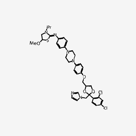 COC1CN(C(C)C)/C(=N/c2ccc(N3CCN(c4ccc(OCC5COC(Cn6ccnc6)(c6ccc(Cl)cc6Cl)O5)cc4)CC3)cc2)S1